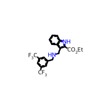 CCOC(=O)c1[nH]c2ccccc2c1CNCc1cc(C(F)(F)F)cc(C(F)(F)F)c1